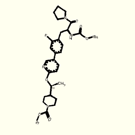 CC(C)OC(=O)N1CCC([C@H](C)Oc2ccc(-c3ccc(CC(NC(=O)OC(C)(C)C)C(=O)N4CCCC4)c(F)c3)cn2)CC1